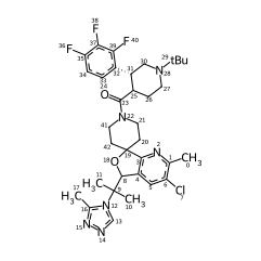 Cc1nc2c(cc1Cl)C(C(C)(C)n1cnnc1C)OC21CCN(C(=O)C2CCN(C(C)(C)C)C[C@H]2c2ccc(F)c(F)c2F)CC1